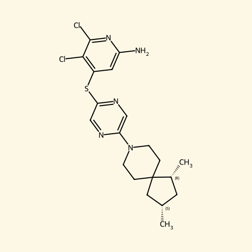 C[C@H]1C[C@@H](C)C2(CCN(c3cnc(Sc4cc(N)nc(Cl)c4Cl)cn3)CC2)C1